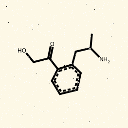 CC(N)Cc1ccccc1C(=O)CO